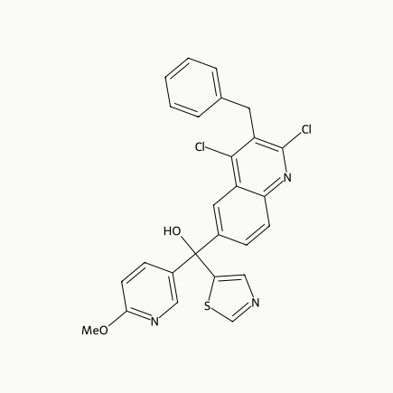 COc1ccc(C(O)(c2ccc3nc(Cl)c(Cc4ccccc4)c(Cl)c3c2)c2cncs2)cn1